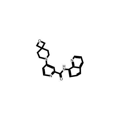 O=C(Nc1cccc2cccnc12)c1cc(N2CCC3(CC2)COC3)ccn1